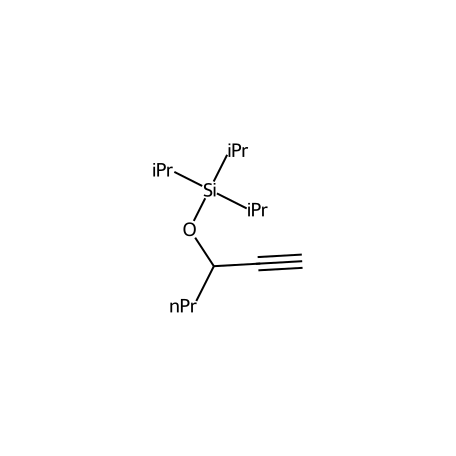 C#CC(CCC)O[Si](C(C)C)(C(C)C)C(C)C